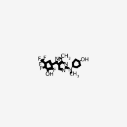 Cn1nc(-c2cc(C(F)(F)F)c(F)c(O)c2F)c2cnc(N(C)[C@H]3CC[C@@H](O)CC3)nc21